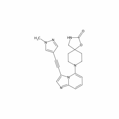 Cn1cc(C#Cc2cnc3cccc(N4CCC5(CC4)CNC(=O)O5)n23)cn1